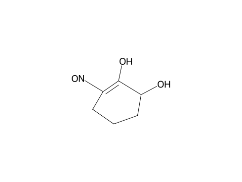 O=NC1=C(O)C(O)CCC1